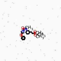 CN(C(=O)N1CC(Oc2ccccc2)C1)[C@@H]1CCCC(CCC(=O)OC(C)(C)C)C1